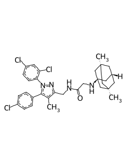 Cc1c(CNC(=O)CN[C@@]23C[C@@H]4C[C@@](C)(C[C@@](C)(C4)C2)C3)nn(-c2ccc(Cl)cc2Cl)c1-c1ccc(Cl)cc1